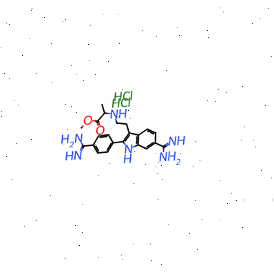 COC(=O)C(C)NCCc1c(-c2ccc(C(=N)N)cc2)[nH]c2cc(C(=N)N)ccc12.Cl.Cl